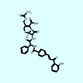 CC(=O)OCC1=C(C(=O)O)N2C(=O)[C@@H](NC(=O)C(NC(=O)c3ccc(C=CC(=O)c4ccccc4O)cc3)c3ccccc3)[C@H]2SC1